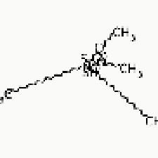 CCCCCCCCCCCCCCCCCC[N+](S)(CCCCCCCCCCCCCCCCCC)C(=S)C(CC(=O)OCCCCC)C(=O)OCCCCC